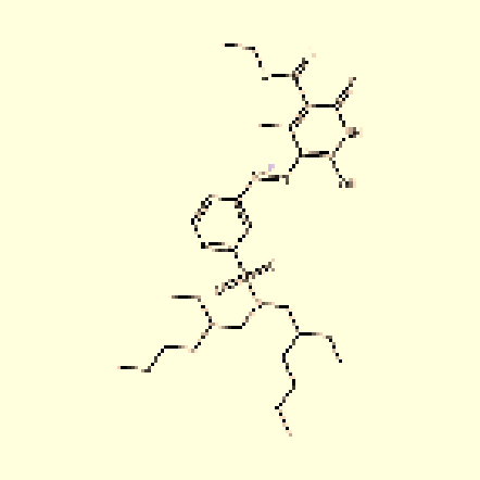 CCCCC(CC)CN(CC(CC)CCCC)S(=O)(=O)c1cccc(/N=N/c2c(O)[nH]c(=O)c(C(=O)OCC)c2C)c1